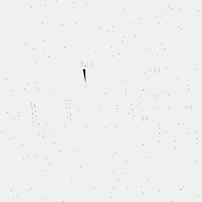 CC(C)(CC[C@H](N)c1ccc(Br)cc1)[Si](C)(C)O